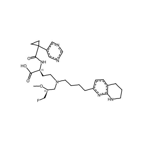 CO[C@H](CF)CN(CCCCc1ccc2c(n1)NCCC2)CC[C@H](NC(=O)C1(c2cncnc2)CC1)C(=O)O